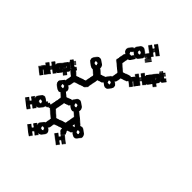 CCCCCCCC(CC(=O)O)OC(=O)CC(CCCCCCC)OC1OC2O[C@@H]2C(O)[C@@H]1O